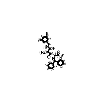 CN1C(=O)C(NC(=O)C(C(=O)NCc2cc(F)cc(F)c2)C(C)(C)C)N=C(c2ccccc2)c2ccccc21